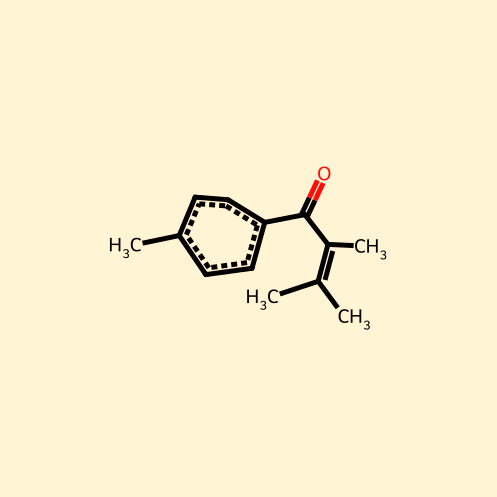 CC(C)=C(C)C(=O)c1ccc(C)cc1